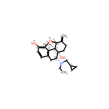 C=C1CC[C@@]2(O)[C@H](N(CC)CC3CC3)Cc3ccc(O)c4c3[C@@]2(CC)[C@H]1O4